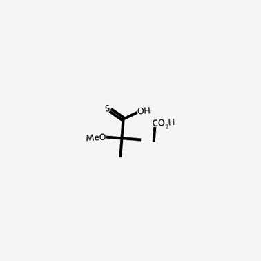 CC(=O)O.COC(C)(C)C(O)=S